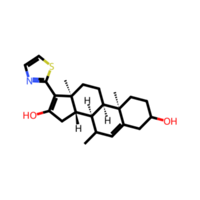 CC1C=C2CC(O)CC[C@]2(C)[C@@H]2CC[C@]3(C)C(c4nccs4)=C(O)C[C@H]3[C@H]12